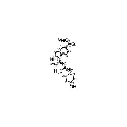 C=C(/N=C(\C=C/N)n1ccc2cc(C(=O)OC)ccc21)N[C@H]1CC[C@H](O)CC1